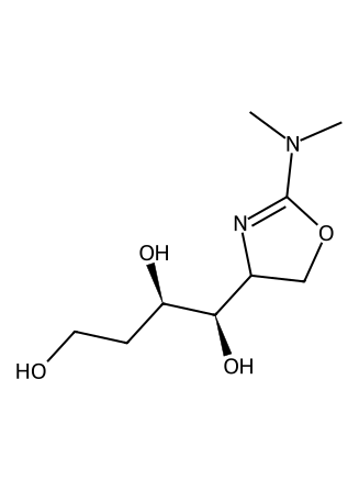 CN(C)C1=NC([C@@H](O)[C@H](O)CCO)CO1